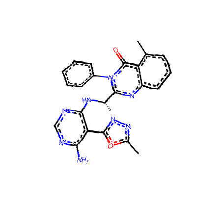 Cc1nnc(-c2c(N)ncnc2N[C@@H](C)c2nc3cccc(C)c3c(=O)n2-c2ccccc2)o1